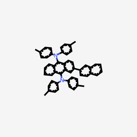 Cc1ccc(N(c2ccc(C)cc2)c2c3ccccc3c(N(c3ccc(C)cc3)c3ccc(C)cc3)c3cc(-c4ccc5ccccc5c4)ccc23)cc1